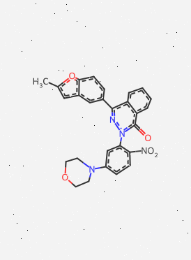 Cc1cc2cc(-c3nn(-c4cc(N5CCOCC5)ccc4[N+](=O)[O-])c(=O)c4ccccc34)ccc2o1